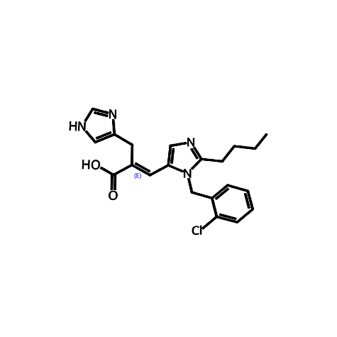 CCCCc1ncc(/C=C(\Cc2c[nH]cn2)C(=O)O)n1Cc1ccccc1Cl